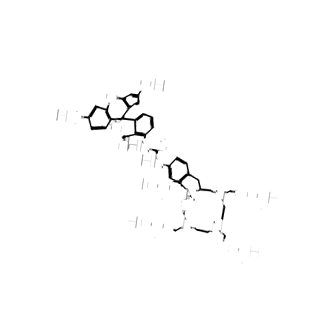 O=C(O)CN1CCN(CC(=O)O)CCN(CC(=O)O)C(Cc2ccc(NC(=S)Nc3cccc4c3C(=O)OC43c4ccc(O)cc4Oc4cc(O)ccc43)cc2)CN(CC(=O)O)CC1